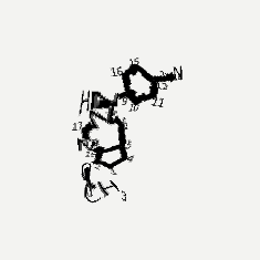 COC1CCC2=CN(Nc3ccc(C#N)cc3)CN=C21